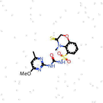 COc1cc(C)nc(NC(=O)NS(=O)(=O)c2cccc3c2N(C)C(=S)CO3)n1